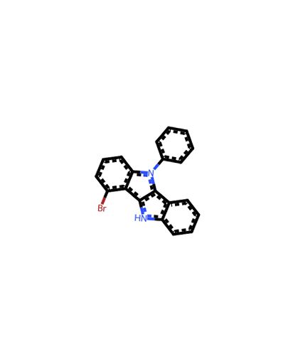 Brc1cccc2c1c1[nH]c3ccccc3c1n2-c1ccccc1